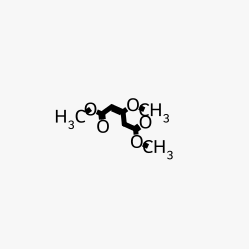 COC(=O)/C=C(\CC(=O)OC)OC